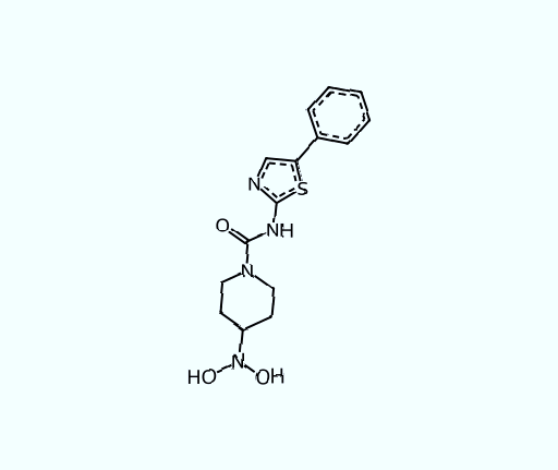 O=C(Nc1ncc(-c2ccccc2)s1)N1CCC(N(O)O)CC1